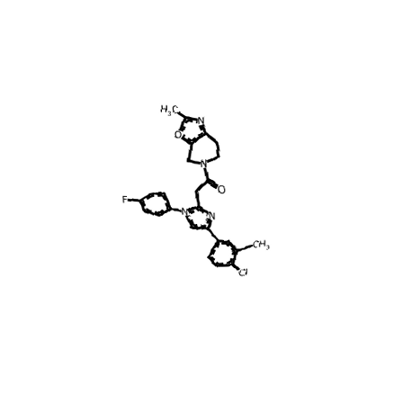 Cc1nc2c(o1)CN(C(=O)Cc1nc(-c3ccc(Cl)c(C)c3)cn1-c1ccc(F)cc1)CC2